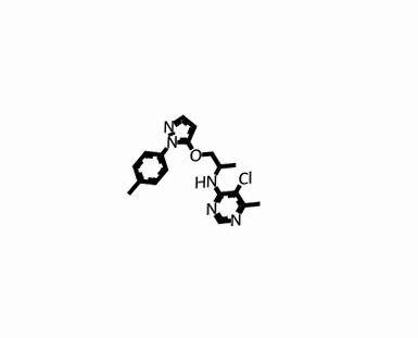 Cc1ccc(-n2nccc2OCC(C)Nc2ncnc(C)c2Cl)cc1